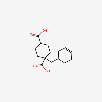 O=C(O)C1CCC(CC2CC=CCC2)(C(=O)O)CC1